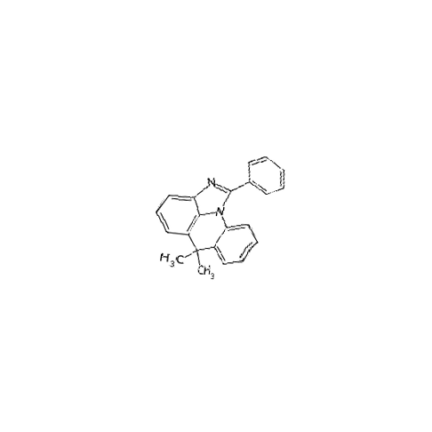 CC1(C)c2ccccc2-n2c(-c3ccccc3)nc3cccc1c32